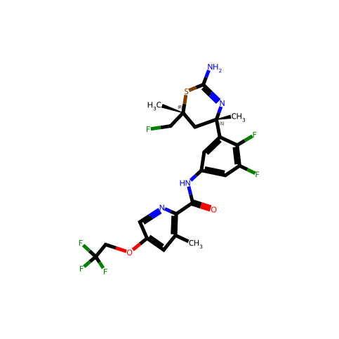 Cc1cc(OCC(F)(F)F)cnc1C(=O)Nc1cc(F)c(F)c([C@]2(C)C[C@](C)(CF)SC(N)=N2)c1